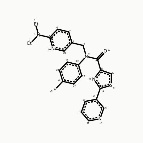 CCN(CC)c1ccc(CN(C(=O)c2csc(-c3cccnc3)n2)c2ccc(F)cc2)cn1